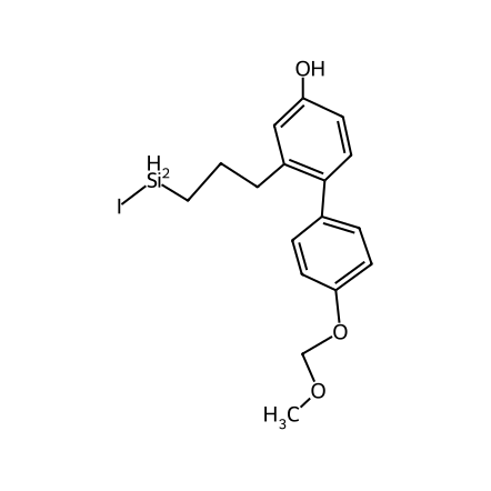 COCOc1ccc(-c2ccc(O)cc2CCC[SiH2]I)cc1